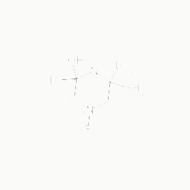 BC1(B)CN(CC)CC(O)(O)N1